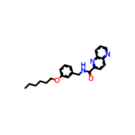 CCCCCCOc1cccc(CNC(=O)c2ccc3ncccc3n2)c1